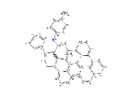 C=C(/C=C\C(=C/Cc1ccccc1)N(c1ccc(C)cc1)c1ccccc1-c1ccccc1)c1cc2c3ccccc3ccc2c2ccccc12